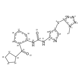 Cn1nnnc1Sc1cnc(NC(=O)Nc2ccccc2C(=O)C2CCCC2)s1